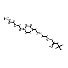 CC(C)(C)CC(=O)COCCOCCN1CCN(CCOCCO)CC1